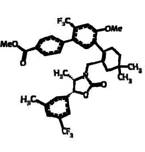 COC(=O)c1ccc(-c2cc(C3=C(CN4C(=O)O[C@H](c5cc(C)cc(C(F)(F)F)c5)[C@@H]4C)CC(C)(C)CC3)c(OC)cc2C(F)(F)F)cc1